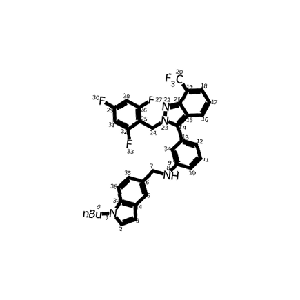 CCCCn1ccc2cc(CNc3cccc(-c4c5cccc(C(F)(F)F)c5nn4Cc4c(F)cc(F)cc4F)c3)ccc21